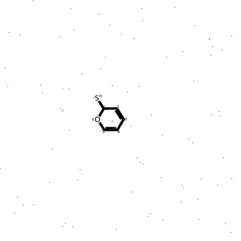 [S]C1C=CC=CO1